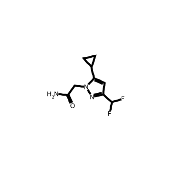 NC(=O)Cn1nc(C(F)F)cc1C1CC1